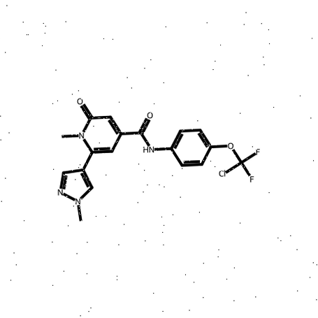 Cn1cc(-c2cc(C(=O)Nc3ccc(OC(F)(F)Cl)cc3)cc(=O)n2C)cn1